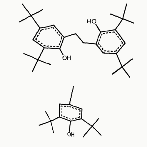 CC(C)(C)c1cc(CCc2cc(C(C)(C)C)cc(C(C)(C)C)c2O)c(O)c(C(C)(C)C)c1.Cc1cc(C(C)(C)C)c(O)c(C(C)(C)C)c1